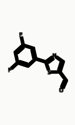 O=Cc1cnc(-c2cc(F)cc(F)c2)s1